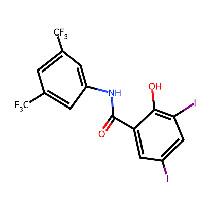 O=C(Nc1cc(C(F)(F)F)cc(C(F)(F)F)c1)c1cc(I)cc(I)c1O